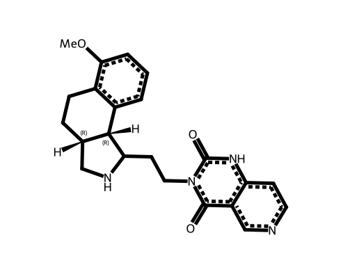 COc1cccc2c1CC[C@H]1CNC(CCn3c(=O)[nH]c4ccncc4c3=O)[C@@H]21